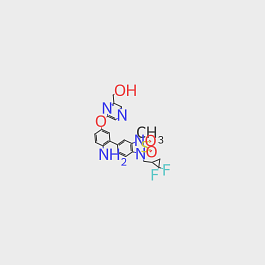 CN1c2cc(-c3cc(Oc4cncc(CO)n4)ccc3N)ccc2N(CC2CC2(F)F)S1(=O)=O